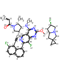 C#Cc1c(F)ccc2cccc(-c3ncc4c(N(C)[C@@H]5CCN(C(=O)C=C)[C@@H]5C)nc(OC[C@]56C[C@@H](F)CN5CC5(CC5)C6)nc4c3F)c12